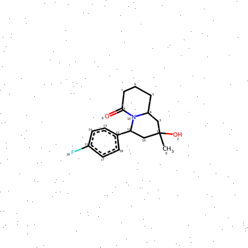 CC1(O)CC2CCCC(=O)N2C(c2ccc(F)cc2)C1